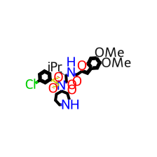 COc1cc2cc(C(=O)N[C@@H](CC(C)C)C(=O)N(C3CCCNCC3=O)S(=O)(=O)c3cccc(Cl)c3)oc2cc1OC